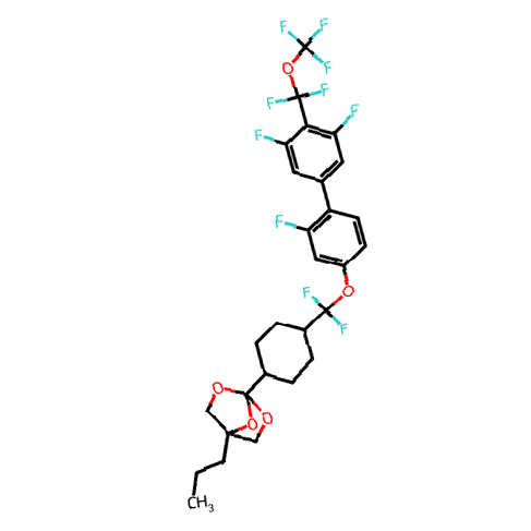 CCCC12COC(C3CCC(C(F)(F)Oc4ccc(-c5cc(F)c(C(F)(F)OC(F)(F)F)c(F)c5)c(F)c4)CC3)(OC1)O2